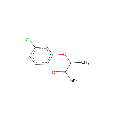 CCCC(=O)C(C)Oc1cccc(Cl)c1